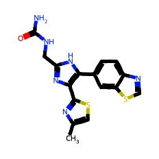 Cc1csc(-c2nc(CNC(N)=O)[nH]c2-c2ccc3ncsc3c2)n1